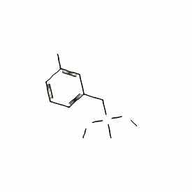 CCO[Si](C)(Cc1cccc(F)c1)OCC